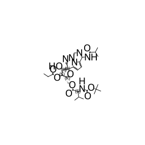 CCC(=O)O[C@H]1[C@@H](O)[C@](C#N)(c2ccc3c(NC(=O)C(C)C)ncnn23)O[C@@H]1COC(=O)[C@@H](NC(=O)OC(C)(C)C)C(C)C